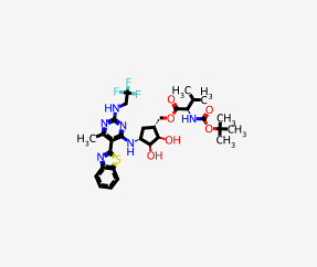 Cc1nc(NCC(F)(F)F)nc(N[C@@H]2C[C@H](COC(=O)[C@@H](NC(=O)OC(C)(C)C)C(C)C)[C@@H](O)[C@H]2O)c1-c1nc2ccccc2s1